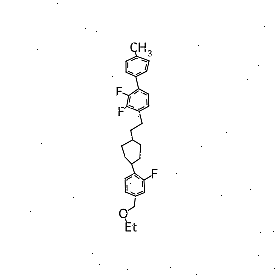 CCOCc1ccc(C2CCC(CCc3ccc(-c4ccc(C)cc4)c(F)c3F)CC2)c(F)c1